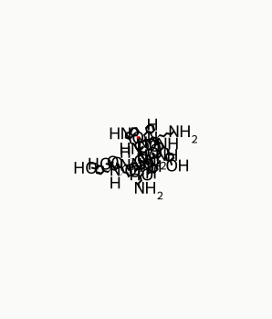 CC[C@H](C)[C@H](NC(=O)[C@H](C)NC(=O)[C@H](CCCCN)NC(=O)CNC(=O)[C@H](Cc1ccc(O)cc1)NC(=O)[C@H](Cc1ccc(O)cc1)NC(=O)[C@H](CCCCN)NC(=O)[C@H](Cc1ccccc1)NC(=O)[C@H](Cc1c[nH]c2ccccc12)NC(=O)C(C)(C)N)C(=O)N[C@@H](Cc1ccc(O)cc1)C(=O)O